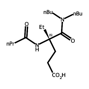 CCCCN(CCCC)C(=O)[C@](CC)(CCC(=O)O)NC(=O)CCC